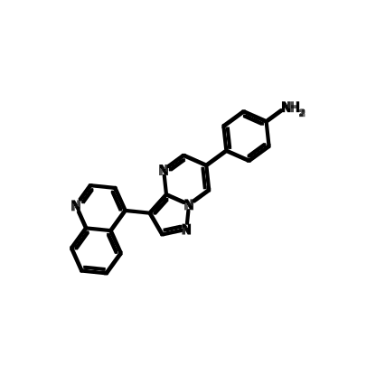 Nc1ccc(-c2cnc3c(-c4ccnc5ccccc45)cnn3c2)cc1